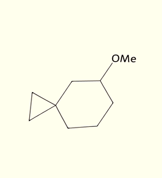 COC1CCCC2(CC2)C1